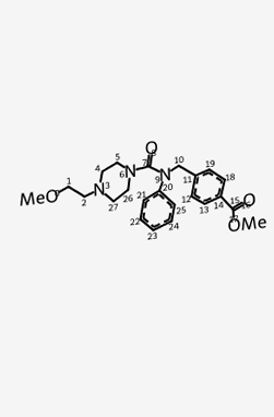 COCCN1CCN(C(=O)N(Cc2ccc(C(=O)OC)cc2)c2ccccc2)CC1